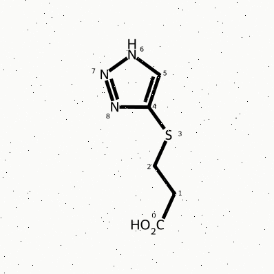 O=C(O)CCSc1c[nH]nn1